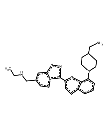 CCNCc1ccn2c(-c3ccc4cccc(N5CCC(CN)CC5)c4n3)nnc2c1